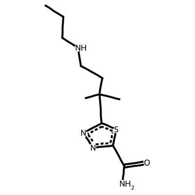 CCCNCCC(C)(C)c1nnc(C(N)=O)s1